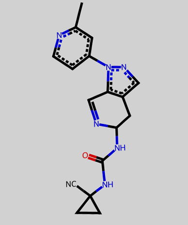 Cc1cc(-n2ncc3c2C=NC(NC(=O)NC2(C#N)CC2)C3)ccn1